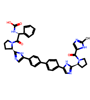 Cc1ncc(C(=O)N2CCC[C@H]2c2ncc(-c3ccc(-c4ccc(-c5cnc([C@@H]6CCCN6C(=O)[C@H](NC(=O)O)c6ccccc6)[nH]5)cc4)cc3)[nH]2)[nH]1